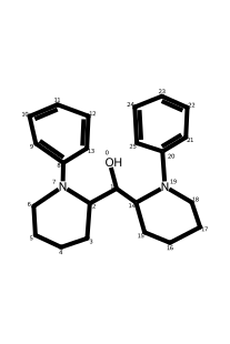 OC(C1CCCCN1c1ccccc1)C1CCCCN1c1ccccc1